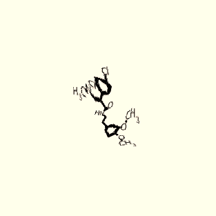 COc1ccc(CCNC(=O)C(=CN(C)C)c2ccc(Cl)cc2)cc1OC